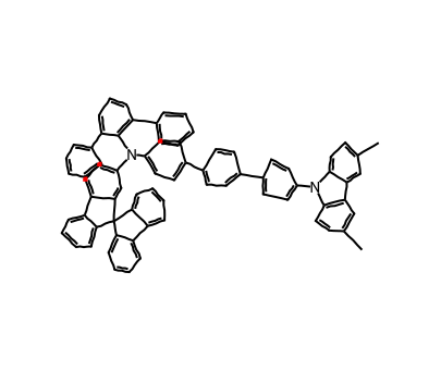 Cc1ccc2c(c1)c1cc(C)ccc1n2-c1ccc(-c2ccc(-c3ccc(N(c4ccc5c(c4)C4(c6ccccc6-c6ccccc64)c4ccccc4-5)c4c(-c5ccccc5)cccc4-c4ccccc4)cc3)cc2)cc1